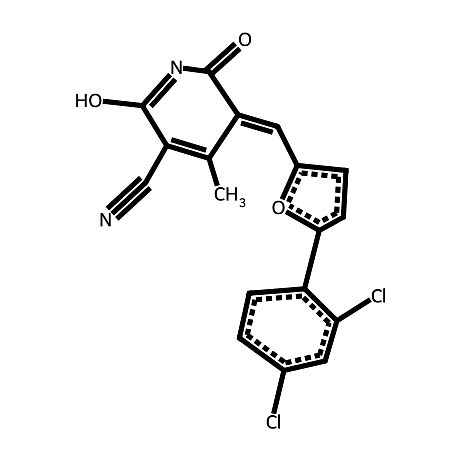 CC1=C(C#N)C(O)=NC(=O)/C1=C/c1ccc(-c2ccc(Cl)cc2Cl)o1